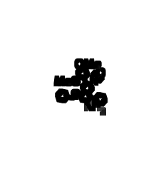 COc1ccc(-c2cc3c(OCc4ccccc4)cc(N)c(-c4ccccc4)c3cc2N2CCOCC2)c(OC)c1